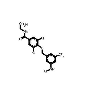 CCNc1cc(COc2c(Cl)cc(C(=O)NCC(=O)O)cc2Cl)cc(C(F)(F)F)c1